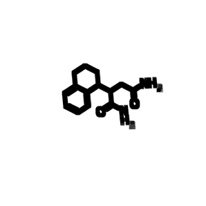 NC(=O)CC(C(N)=O)C1CCCc2ccccc21